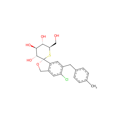 Cc1ccc(Cc2cc3c(cc2Cl)CO[C@]32S[C@H](CO)[C@@H](O)[C@H](O)[C@H]2O)cc1